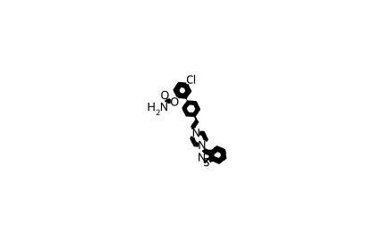 NC(=O)Oc1ccc(Cl)cc1[C@H]1CC[C@H](CCN2CCN(c3nsc4ccccc34)CC2)CC1